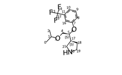 CC(C)OC[C@@H](Oc1cccc(C(F)(F)F)c1)[C@H]1CCNC1